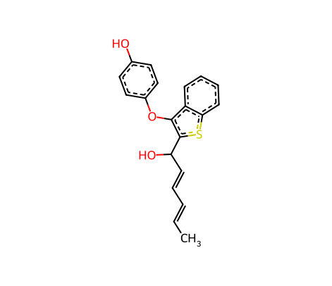 CC=CC=CC(O)c1sc2ccccc2c1Oc1ccc(O)cc1